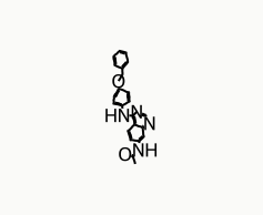 CC(=O)Nc1ccc2c(Nc3ccc(OCc4ccccc4)cc3)ncnc2c1